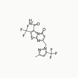 Cc1cc(C(F)(F)F)n(Cc2cc(=O)n3c(C(N)=O)c(C(F)(F)F)sc3n2)n1